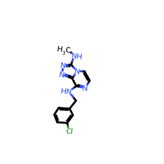 CNc1nnc2c(NCc3cccc(Cl)c3)nccn12